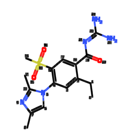 CCc1cc(-n2cc(C)nc2C)c(S(C)(=O)=O)cc1C(=O)N=C(N)N